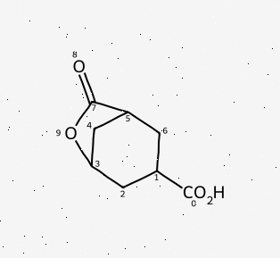 O=C(O)C1CC2CC(C1)C(=O)O2